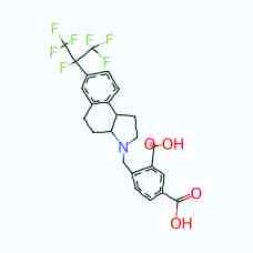 O=C(O)c1ccc(CN2CCC3c4ccc(C(F)(C(F)(F)F)C(F)(F)F)cc4CCC32)c(C(=O)O)c1